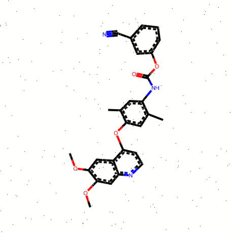 COc1cc2nccc(Oc3cc(C)c(NC(=O)Oc4cccc(C#N)c4)cc3C)c2cc1OC